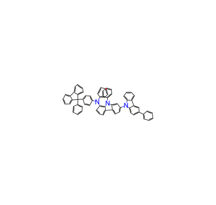 c1ccc(-c2ccc3c(c2)c2ccccc2n3-c2ccc3c4cccc(N(c5ccccc5)c5ccc(C6(c7ccccc7)c7ccccc7-c7ccccc76)cc5)c4n(-c4ccccc4)c3c2)cc1